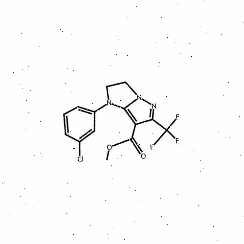 COC(=O)c1c(C(F)(F)F)nn2c1N(c1cccc(Cl)c1)CC2